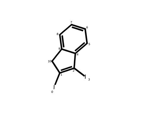 IC1=C(I)c2ccccc2C1